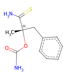 C[C@@](Cc1ccccc1)(OC(N)=O)C(N)=S